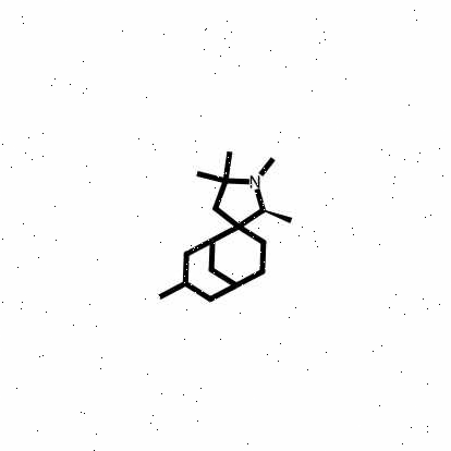 CC1CC2CCC3(CC(C)(C)N(C)[C@H]3C)C(C1)C2